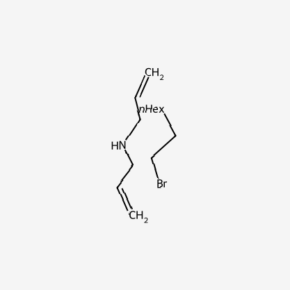 C=CCNCC=C.CCCCCCCCBr